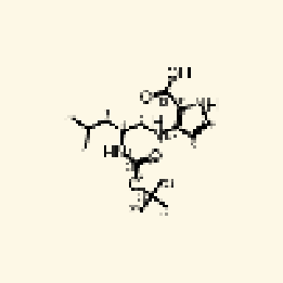 CC(C)C[C@@H](CNc1cc[nH]c1C(=O)O)NC(=O)OC(C)(C)C